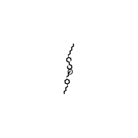 CCCCCCC[C@H]1CC[C@H]([C@H]2CC[C@H](OCCC[C@H]3CC[C@H](CCCCC)CC3)CC2)CC1